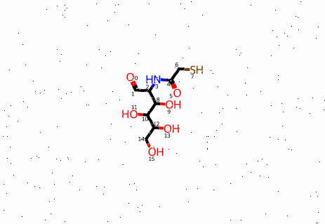 O=CC(NC(=O)CS)C(O)C(O)C(O)CO